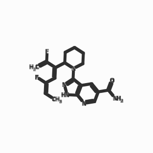 C=C(F)/C(=C\C(F)=C/C)C1CCCCN1c1n[nH]c2ncc(C(N)=O)cc12